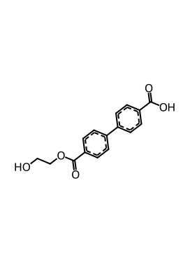 O=C(O)c1ccc(-c2ccc(C(=O)OCCO)cc2)cc1